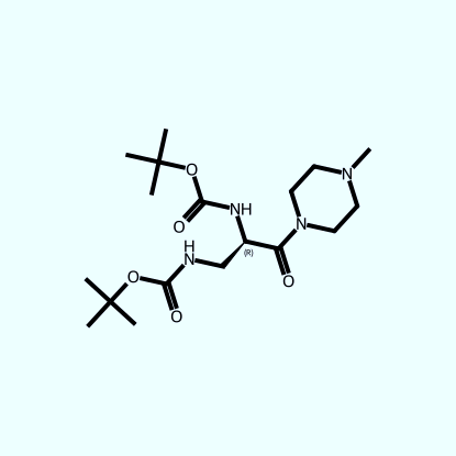 CN1CCN(C(=O)[C@@H](CNC(=O)OC(C)(C)C)NC(=O)OC(C)(C)C)CC1